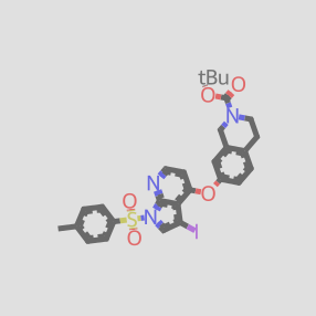 Cc1ccc(S(=O)(=O)n2cc(I)c3c(Oc4ccc5c(c4)CN(C(=O)OC(C)(C)C)CC5)ccnc32)cc1